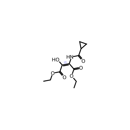 CCOC(=O)/C(O)=C(/NC(=O)C1CC1)C(=O)OCC